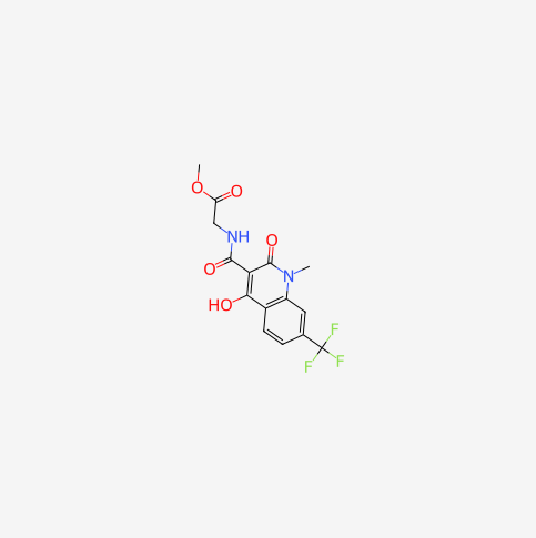 COC(=O)CNC(=O)c1c(O)c2ccc(C(F)(F)F)cc2n(C)c1=O